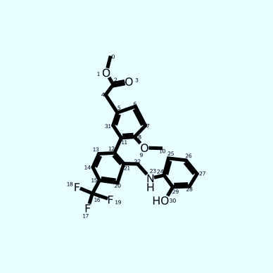 COC(=O)Cc1ccc(OC)c(-c2ccc(C(F)(F)F)cc2CNc2ccccc2O)c1